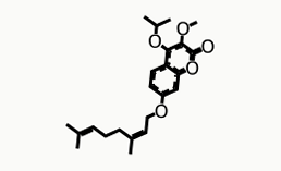 COc1c(OC(C)C)c2ccc(OCC=C(C)CCC=C(C)C)cc2oc1=O